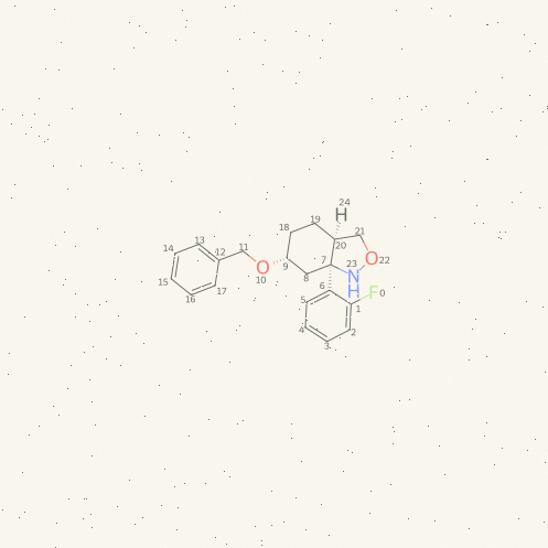 Fc1ccccc1[C@]12C[C@H](OCc3ccccc3)CC[C@H]1CON2